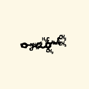 CCN(C)C=Nc1cc(C)c(Cc2nc(C(=O)NC3CCCC3)cs2)cc1C